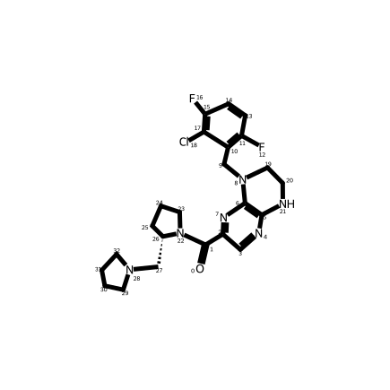 O=C(c1cnc2c(n1)N(Cc1c(F)ccc(F)c1Cl)CCN2)N1CCC[C@H]1CN1CCCC1